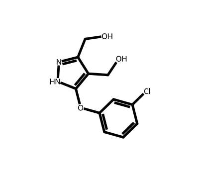 OCc1n[nH]c(Oc2cccc(Cl)c2)c1CO